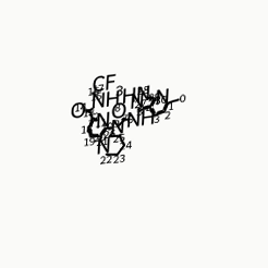 Cc1ccc2c(NC(=O)N3c4nc(C(=O)NCC(F)(F)F)ccc4N4CCCC3C4)n[nH]c2n1